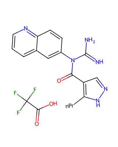 CCCc1[nH]ncc1C(=O)N(C(=N)N)c1ccc2ncccc2c1.O=C(O)C(F)(F)F